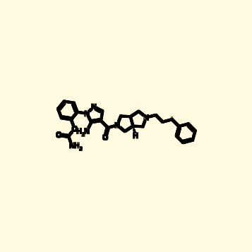 NC(=O)Oc1ccccc1-n1ncc(C(=O)N2CC3CN(CC[CH]c4ccccc4)C[C@H]3C2)c1N